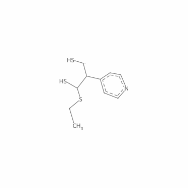 CCSC(S)C([CH]S)c1ccncc1